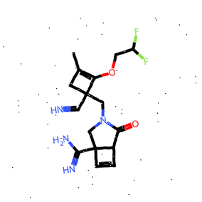 CC1=C(OCC(F)F)C(C=N)(CN2CC3(C(=N)N)C=CC3C2=O)C1